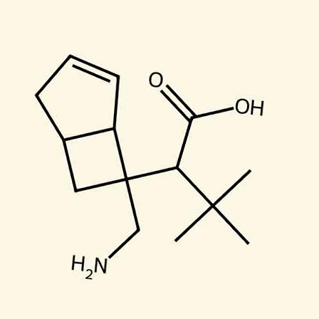 CC(C)(C)C(C(=O)O)C1(CN)CC2CC=CC21